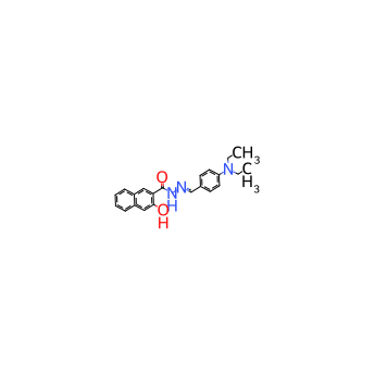 CCN(CC)c1ccc(/C=N/NC(=O)c2cc3ccccc3cc2O)cc1